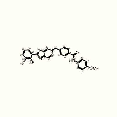 COc1ccc(NC(=O)c2ccc(Cn3cc4nc(-c5cccc(F)c5F)nc-4cn3)cc2)cc1